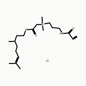 C=CC(=O)NCCC[N+](C)(C)CC(=O)OCCC(C)CCC=C(C)C.[Cl-]